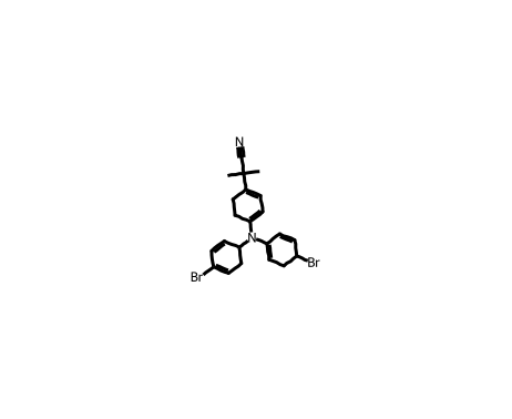 CC(C)(C#N)C1=CC=C(N(C2=CCC(Br)C=C2)C2C=CC(Br)=CC2)CC1